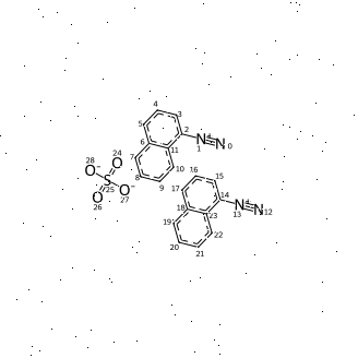 N#[N+]c1cccc2ccccc12.N#[N+]c1cccc2ccccc12.O=S(=O)([O-])[O-]